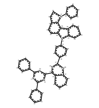 c1ccc(-c2nc(-c3ccccc3)nc(-c3nc(-c4ccc(-n5c6ccccc6c6c7c(ccc65)ccn7-c5ccccc5)cc4)nc4ccccc34)n2)cc1